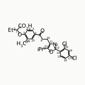 CCC(Oc1ccc(C(=O)CCc2nc(-c3ccc(Cl)cc3Cl)oc2C(C)C)cc1C)C(=O)O